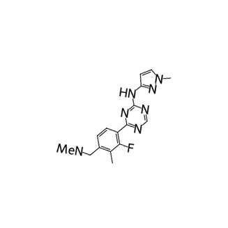 CNCc1ccc(-c2ncnc(Nc3ccn(C)n3)n2)c(F)c1C